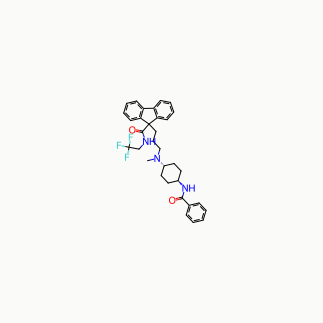 CN(CCCC1(C(=O)NCC(F)(F)F)c2ccccc2-c2ccccc21)[C@H]1CC[C@H](NC(=O)c2ccccc2)CC1